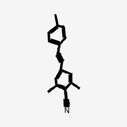 Cc1ccc(C#Cc2cc(C)c(C#N)c(C)c2)cc1